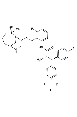 N[C@H](C(=O)Nc1cccc(F)c1CCC1CNC2CCCS(O)(O)N1C2)[C@@H](c1ccc(F)cc1)c1ccc(C(F)(F)F)cc1